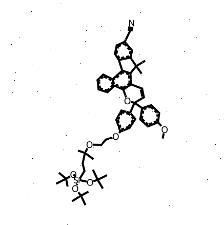 COc1ccc(C2(c3ccc(OCCOC(C)(C)CC[Si](OC(C)(C)C)(OC(C)(C)C)OC(C)(C)C)cc3)C=Cc3c4c(c5ccccc5c3O2)-c2ccc(C#N)cc2C4(C)C)cc1